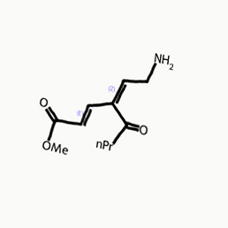 CCCC(=O)C(=C\CN)/C=C/C(=O)OC